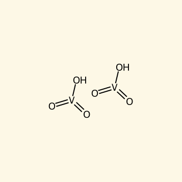 [O]=[V](=[O])[OH].[O]=[V](=[O])[OH]